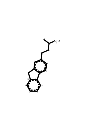 CC(=O)OC(C)CCc1ccc2c(c1)Cc1ccccc1-2